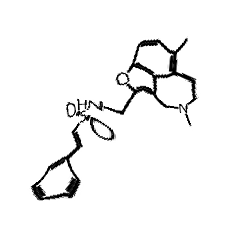 Cc1ccc2oc(CNS(=O)(=O)C=Cc3ccccc3)c3c2c1CCN(C)C3